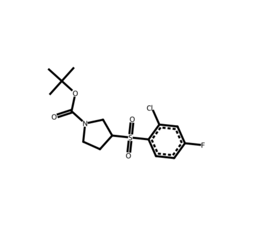 CC(C)(C)OC(=O)N1CCC(S(=O)(=O)c2ccc(F)cc2Cl)C1